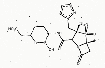 C[C@]1(Cn2ccnn2)C(C(=O)N[C@H]2CC[C@@H](CC(=O)O)OB2O)N2C(=O)C[C@H]2S1(=O)=O